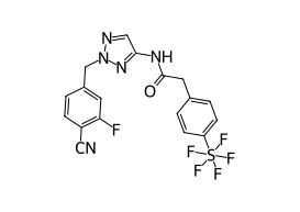 N#Cc1ccc(Cn2ncc(NC(=O)Cc3ccc(S(F)(F)(F)(F)F)cc3)n2)cc1F